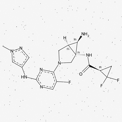 Cn1cc(Nc2ncc(F)c(N3C[C@H]4[C@@H](N)[C@@]4(NC(=O)[C@H]4CC4(F)F)C3)n2)cn1